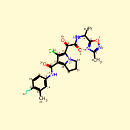 Cc1noc(C(NC(=O)C(=O)c2c(Cl)c(C(=O)Nc3ccc(F)c(C)c3)c3n2CCC3)C(C)C)n1